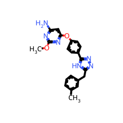 COc1nc(N)cc(Oc2ccc(-c3nnc(Cc4cccc(C)c4)[nH]3)cc2)n1